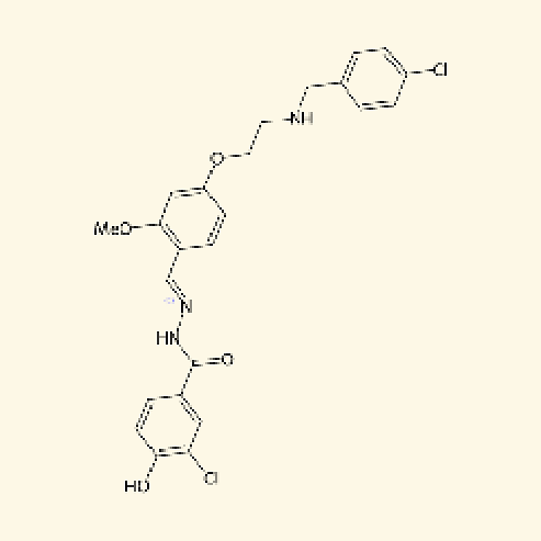 COc1cc(OCCNCc2ccc(Cl)cc2)ccc1/C=N/NC(=O)c1ccc(O)c(Cl)c1